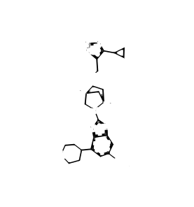 O=C(O)c1cc(C2CCOCC2)c2nc(N3C[C@@H]4C[C@H]3C[C@H]4OCc3[nH]nnc3C3CC3)sc2c1